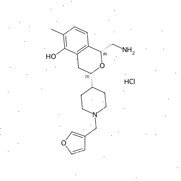 Cc1ccc2c(c1O)C[C@@H](C1CCN(Cc3ccoc3)CC1)O[C@H]2CN.Cl